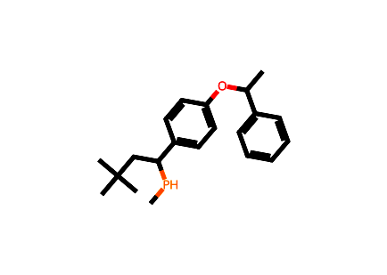 CPC(CC(C)(C)C)c1ccc(OC(C)c2ccccc2)cc1